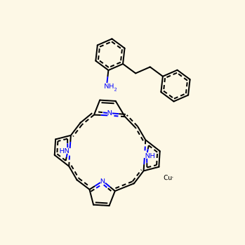 C1=Cc2cc3ccc(cc4nc(cc5ccc(cc1n2)[nH]5)C=C4)[nH]3.Nc1ccccc1CCc1ccccc1.[Cu]